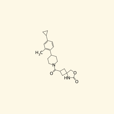 Cc1cc(C2CC2)ccc1C1CCN(C(=O)C2CC3(COC(=O)N3)C2)CC1